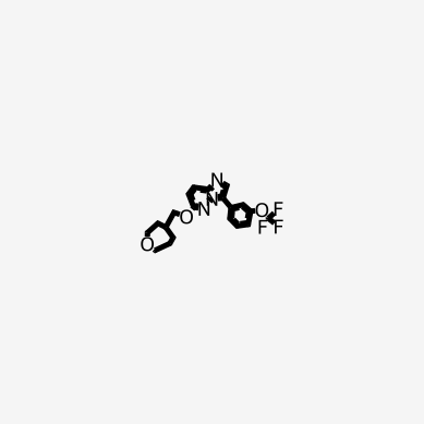 FC(F)(F)Oc1cccc(-c2cnc3ccc(OCC4CCCOCC4)nn23)c1